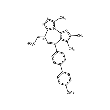 COc1ccc(-c2ccc(C3=N[C@@H](CC(=O)O)c4nnc(C)n4-c4sc(C)c(C)c43)cc2)cc1